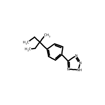 CCC(C)(CC)c1ccc(-c2nn[nH]n2)cc1